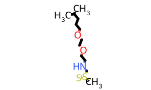 CC(C)CCCOCCOCCNCS(C)=S